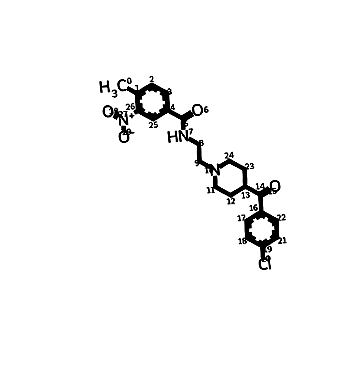 Cc1ccc(C(=O)NCCN2CCC(C(=O)c3ccc(Cl)cc3)CC2)cc1[N+](=O)[O-]